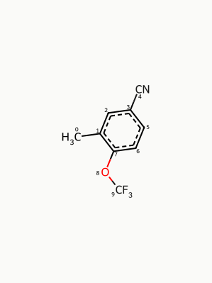 Cc1cc(C#N)ccc1OC(F)(F)F